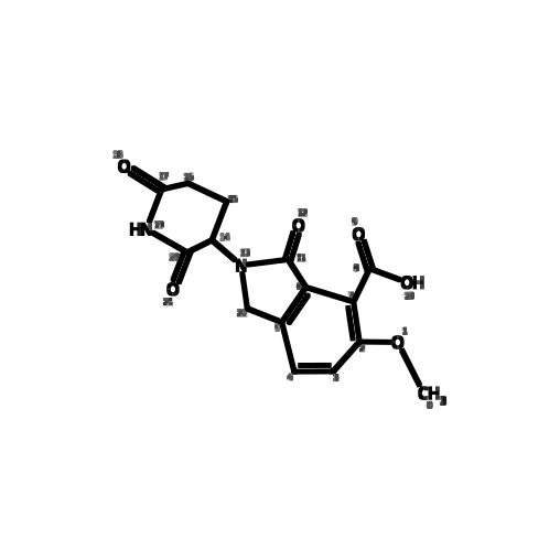 COc1ccc2c(c1C(=O)O)C(=O)N(C1CCC(=O)NC1=O)C2